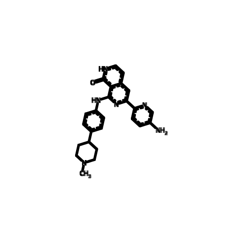 CN1CCC(c2ccc(Nc3nc(-c4ccc(N)cn4)cc4cc[nH]c(=O)c34)cc2)CC1